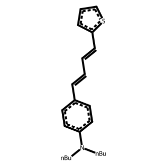 CCCCN(CCCC)c1ccc(/C=C/C=C/c2cccs2)cc1